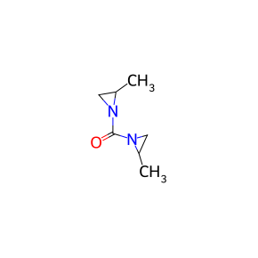 CC1CN1C(=O)N1CC1C